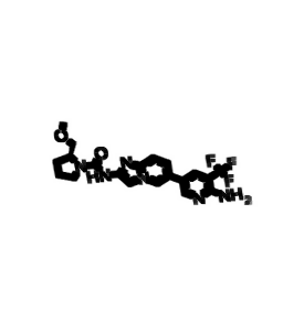 COC[C@@H]1CCCN1C(=O)Nc1cn2cc(-c3cnc(N)c(C(F)(F)F)c3)ccc2n1